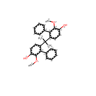 CCCOc1c(O)ccc(C(C)(C)c2ccc(O)c(OCCC)c2-c2ccccc2)c1-c1ccccc1